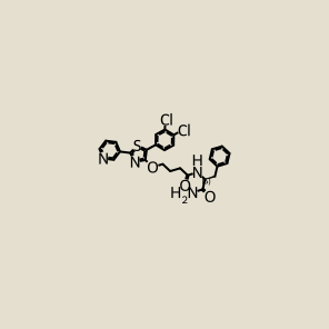 NC(=O)[C@H](Cc1ccccc1)NC(=O)CCCOc1nc(-c2cccnc2)sc1-c1ccc(Cl)c(Cl)c1